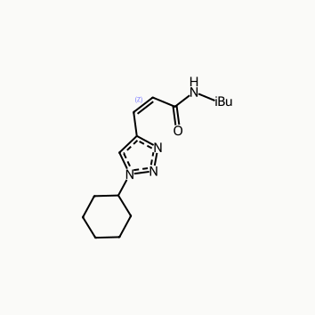 CCC(C)NC(=O)/C=C\c1cn(C2CCCCC2)nn1